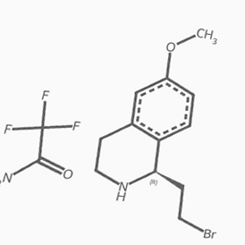 COc1ccc2c(c1)CCN[C@@H]2CCBr.NC(=O)C(F)(F)F